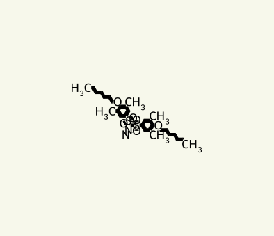 CCCCCCCOc1c(C)cc(S(=O)(=O)C(=[N+]=[N-])S(=O)(=O)c2cc(C)c(OCCCCCCC)c(C)c2)cc1C